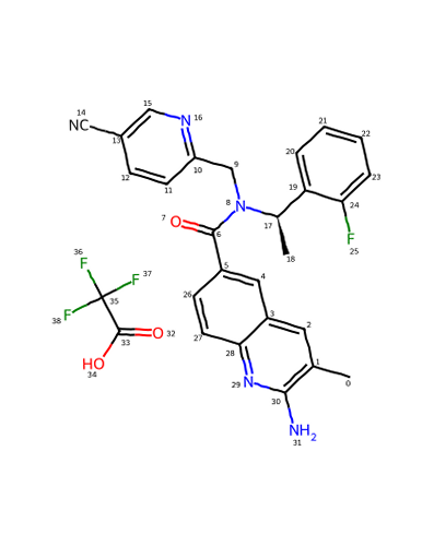 Cc1cc2cc(C(=O)N(Cc3ccc(C#N)cn3)[C@H](C)c3ccccc3F)ccc2nc1N.O=C(O)C(F)(F)F